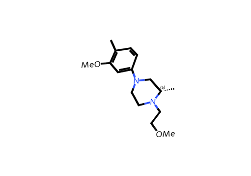 COCCN1CCN(c2ccc(C)c(OC)c2)C[C@@H]1C